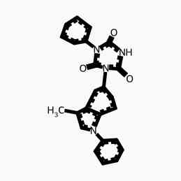 Cc1cn(-c2ccccc2)c2ccc(-n3c(=O)[nH]c(=O)n(-c4ccccc4)c3=O)cc12